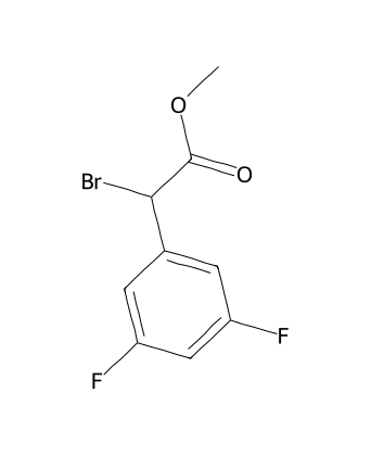 COC(=O)C(Br)c1cc(F)cc(F)c1